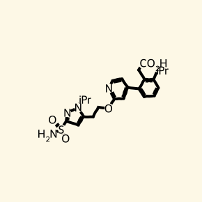 CC(C)c1cccc(-c2ccnc(OCCc3cc(S(N)(=O)=O)nn3C(C)C)c2)c1CC(=O)O